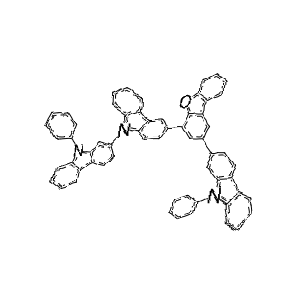 c1ccc(-n2c3ccccc3c3ccc(-c4cc(-c5ccc6c(c5)c5ccccc5n6-c5ccc6c7ccccc7n(-c7ccccc7)c6c5)c5oc6ccccc6c5c4)cc32)cc1